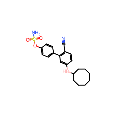 N#Cc1ccc(BC2CCCCCCC2)cc1-c1ccc(OS(N)(=O)=O)cc1